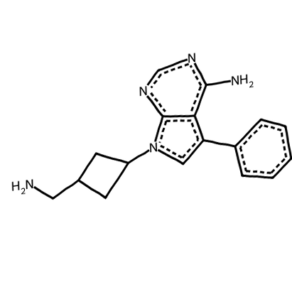 NCC1CC(n2cc(-c3ccccc3)c3c(N)ncnc32)C1